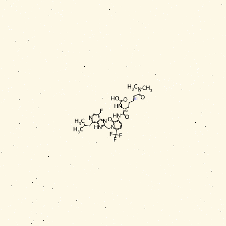 CC(C)Cc1ncc(F)c2nc(Cn3c(C(F)(F)F)ccc(NC(=O)[C@H](CC/C=C/C(=O)N(C)C)NC(=O)O)c3=O)[nH]c12